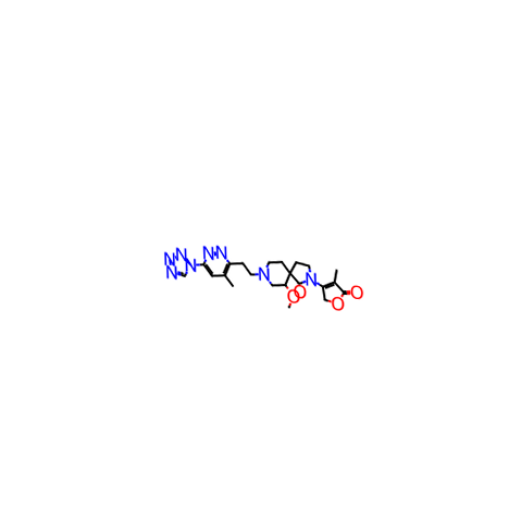 COC1CN(CCc2nnc(-n3cnnn3)cc2C)CCC12CCN(C1=C(C)C(=O)OC1)C2=O